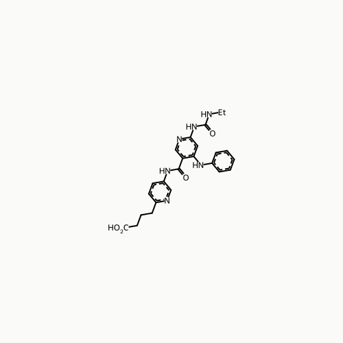 CCNC(=O)Nc1cc(Nc2ccccc2)c(C(=O)Nc2ccc(CCCC(=O)O)nc2)cn1